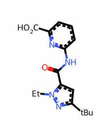 CCn1nc(C(C)(C)C)cc1C(=O)Nc1cccc(C(=O)O)n1